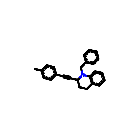 Cc1ccc(C#CC2CCc3ccccc3N2Cc2ccccc2)cc1